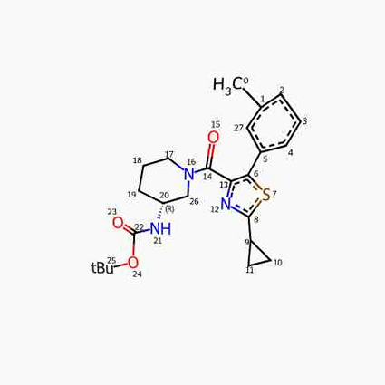 Cc1cccc(-c2sc(C3CC3)nc2C(=O)N2CCC[C@@H](NC(=O)OC(C)(C)C)C2)c1